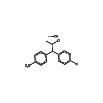 CC#N.CC(Cl)C(c1ccc(Cl)cc1)c1ccc([N+](=O)[O-])cc1